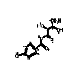 O=C(OC(=O)[C@@H](O)[C@H](O)C(=O)O)c1ccc(Cl)cc1